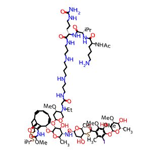 CCN(CC(=O)NCCCNCCCCNCCCNC(=O)[C@H](CCCNC(N)=O)NC(=O)[C@@H](NC(=O)[C@H](CCCCN)NC(C)=O)C(C)C)[C@H]1CO[C@@H](O[C@H]2[C@H](O[C@H]3C#C/C=C\C#CC4CC(=O)C(NC(=O)OC)=C3/C4=C\CSSC(C)C)O[C@H](C)[C@@H](NO[C@H]3C[C@H](O)[C@H](SC(=O)c4c(C)c(I)c(O[C@@H]5O[C@@H](C)[C@H](O)[C@@H](OC)[C@H]5O)c(OC)c4OC)[C@@H](C)O3)[C@@H]2O)C[C@@H]1OC